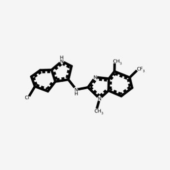 Cc1c(C(F)(F)F)ccc2c1nc(Nc1c[nH]c3ccc(Cl)cc13)n2C